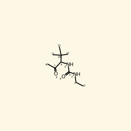 CCNC(=O)NC(C(C)=O)C(C)(C)C